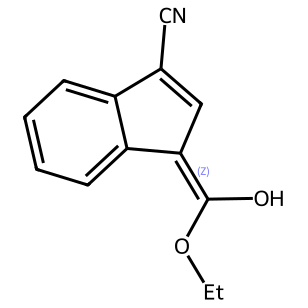 CCO/C(O)=C1/C=C(C#N)c2ccccc21